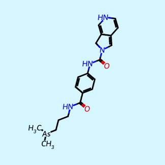 C[As](C)CCCNC(=O)c1ccc(NC(=O)N2C=C3C=CNC=C3C2)cc1